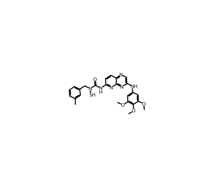 COc1cc(Nc2cnc3ccc(NC(=O)N(S)Cc4cccc(C)c4)nc3n2)cc(OC)c1OC